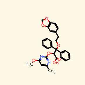 COc1cc(C)nc(OC(C(=O)O)C(OCCc2ccc3c(c2)OCO3)(c2ccccc2)c2ccccc2)n1